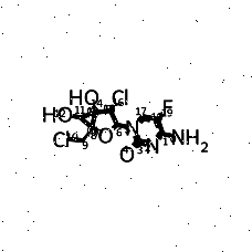 Nc1nc(=O)n(C2O[C@]3(CCl)C(O)[C@]3(O)[C@H]2Cl)cc1F